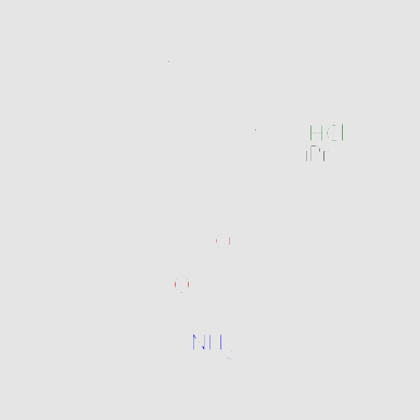 Cc1ccc(C(C)C)c(OON)c1.Cl